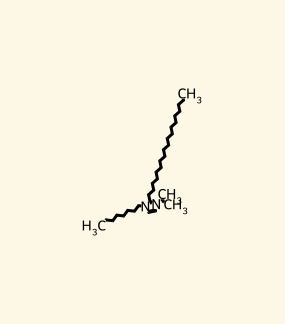 CCCCCCCCCCCCCCCCCCCc1n(CCCCCCCC)cc[n+]1C(C)C